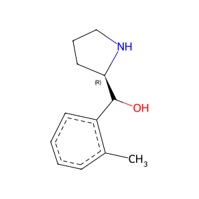 Cc1ccccc1C(O)[C@H]1CCCN1